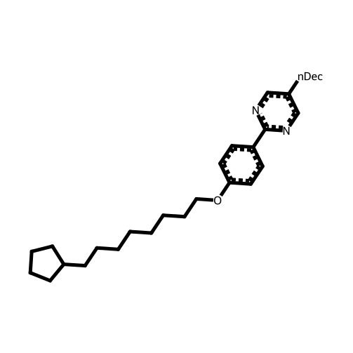 CCCCCCCCCCc1cnc(-c2ccc(OCCCCCCCCC3CCCC3)cc2)nc1